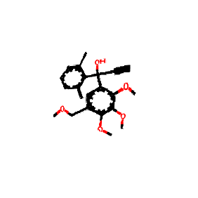 C#CC(O)(c1cc(COC)c(OC)c(OC)c1OC)c1c(C)cccc1C